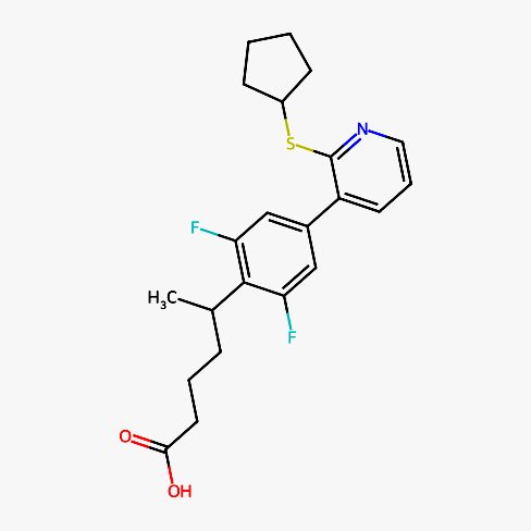 CC(CCCC(=O)O)c1c(F)cc(-c2cccnc2SC2CCCC2)cc1F